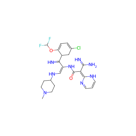 CN1CCC(N/C=C(/NC(=O)/C(C(=N)N)=C2\N=CC=CN2)C(=N)C2CC(Cl)=CC=C2OC(F)F)CC1